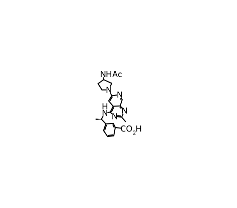 CC(=O)N[C@@H]1CCN(c2cc3c(N[C@H](C)c4cccc(C(=O)O)c4)nc(C)nc3cn2)C1